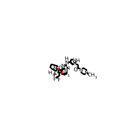 CN1CCN(C(=O)CN2C=C(Nc3nc4c(N5CC6CCC(C5)N6C(=O)C(C)(C)CC(F)(F)F)cccn4n3)CN2)CC1